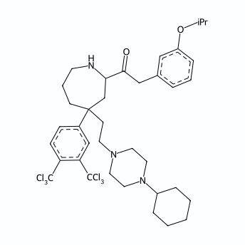 CC(C)Oc1cccc(CC(=O)C2CC(CCN3CCN(C4CCCCC4)CC3)(c3ccc(C(Cl)(Cl)Cl)c(C(Cl)(Cl)Cl)c3)CCCN2)c1